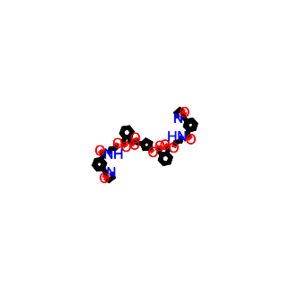 O=CC1(OCC2CCC(OC(=O)C3CCCCC3C(=O)OCCNC(=O)c3cccc(C4=NCCO4)c3)C2)CCCCC1C(=O)OCCNC(=O)c1cccc(C2=NCCO2)c1